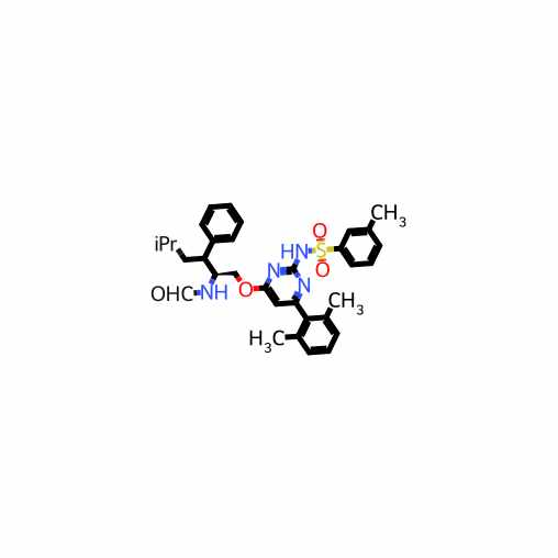 Cc1cccc(S(=O)(=O)Nc2nc(OC[C@@H](NC=O)C(CC(C)C)c3ccccc3)cc(-c3c(C)cccc3C)n2)c1